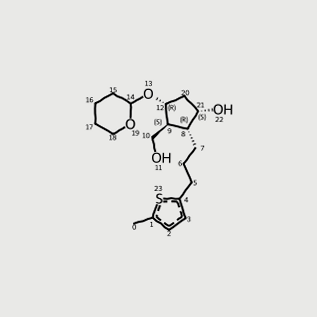 Cc1ccc(CCC[C@@H]2[C@@H](CO)[C@H](OC3CCCCO3)C[C@@H]2O)s1